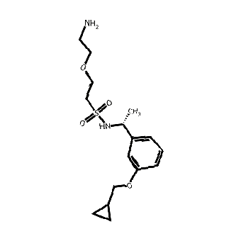 C[C@@H](NS(=O)(=O)CCOCCN)c1cccc(OCC2CC2)c1